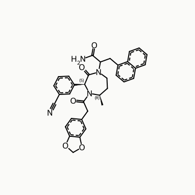 C[C@@H]1CCN(C(Cc2cccc3ccccc23)C(N)=O)C(=O)[C@H](c2cccc(C#N)c2)N1C(=O)Cc1ccc2c(c1)OCO2